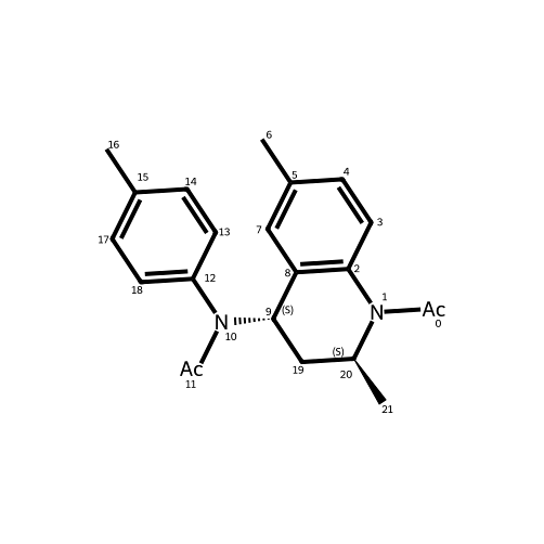 CC(=O)N1c2ccc(C)cc2[C@@H](N(C(C)=O)c2ccc(C)cc2)C[C@@H]1C